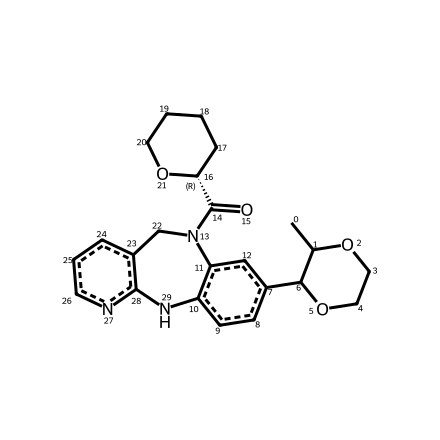 CC1OCCOC1c1ccc2c(c1)N(C(=O)[C@H]1CCCCO1)Cc1cccnc1N2